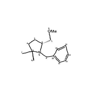 COC[C@H]1CCC(C)(C)N1Cc1ccccc1